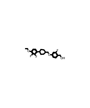 CCOc1ccc(C2CCC(COc3ccc(CO)c(F)c3)CC2)c(F)c1F